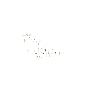 CNC[C@@H](O)COc1ccc(Cl)c(-c2nc(-c3c(C)noc3C)c(C)c(N3Cc4nc(C)sc4C3)n2)c1